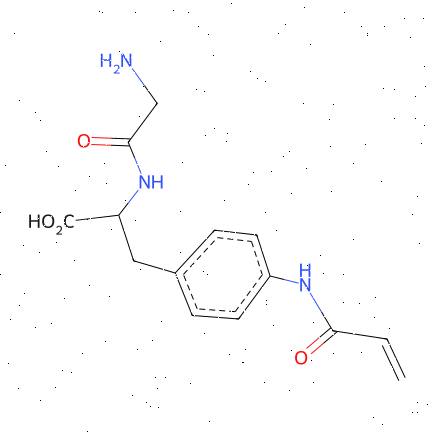 C=CC(=O)Nc1ccc(CC(NC(=O)CN)C(=O)O)cc1